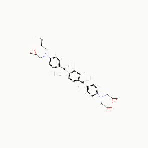 CCCCN(CC1CO1)c1ccc(C(C)(C)c2ccc(C(C)(C)c3ccc(N(CC4CO4)CC4CO4)cc3)cc2)cc1